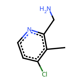 Cc1c(Cl)ccnc1CN